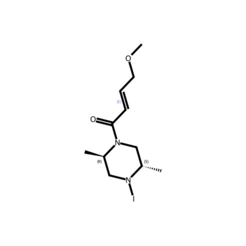 COC/C=C/C(=O)N1C[C@H](C)N(I)C[C@H]1C